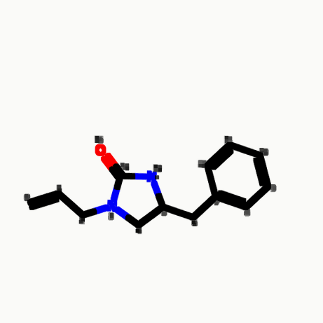 C=CCN1CC(Cc2ccccc2)[N]C1=O